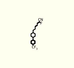 N#CC(F)=CC=CCCC1CCC(c2ccc(C(F)(F)F)cc2)CC1